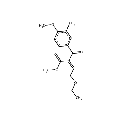 CCOC/C=C(\C(=O)OC)C(=O)c1ccc(OC)c(C)c1